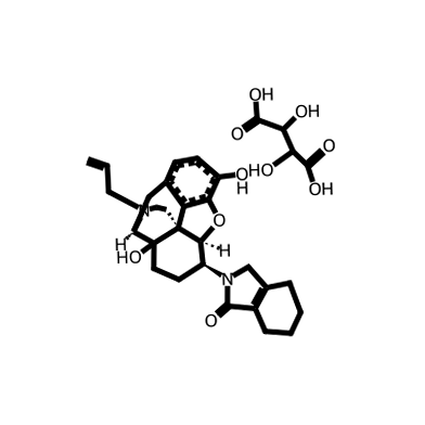 C=CCN1CC[C@]23c4c5ccc(O)c4O[C@H]2[C@@H](N2CC4=C(CCCC4)C2=O)CCC3(O)[C@H]1C5.O=C(O)C(O)C(O)C(=O)O